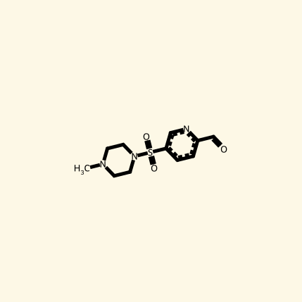 CN1CCN(S(=O)(=O)c2ccc(C=O)nc2)CC1